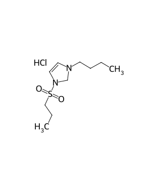 CCCCN1C=CN(S(=O)(=O)CCC)C1.Cl